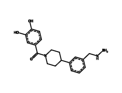 BNCc1cccc(C2CCN(C(=O)c3ccc(O)c(O)c3)CC2)c1